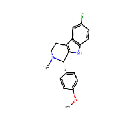 CCCOc1ccc([C@H]2c3[nH]c4ccc(Cl)cc4c3CCN2C)cc1